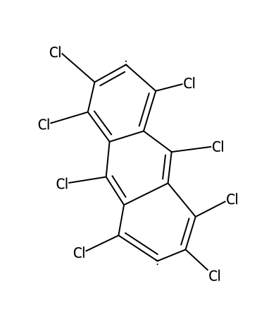 Clc1[c]c(Cl)c2c(Cl)c3c(Cl)c(Cl)[c]c(Cl)c3c(Cl)c2c1Cl